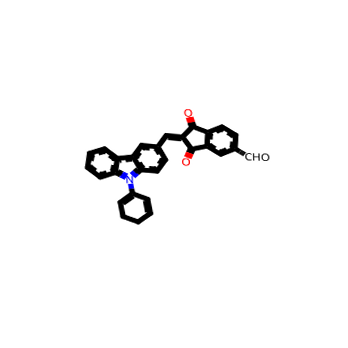 O=Cc1ccc2c(c1)C(=O)/C(=C\c1ccc3c(c1)c1ccccc1n3C1=CCCC=C1)C2=O